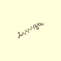 O=C(CO)OCCCCCCCCCC(I)I